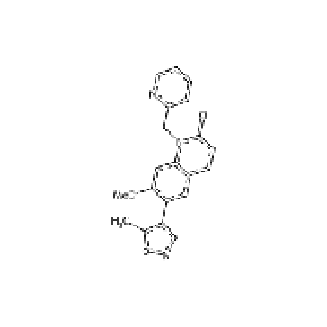 COc1cc2c(ccc(=O)n2Cc2ccccn2)cc1-c1cnoc1C